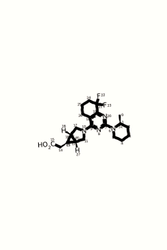 C[C@H]1CCCCN1c1nc(N2C[C@@H]3[C@@H](CC(=O)O)[C@@H]3C2)c2c(n1)C(F)(F)CCC2